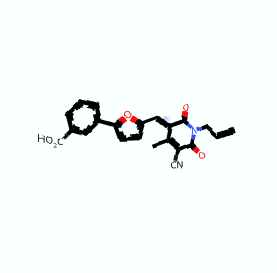 C=CCN1C(=O)C(C#N)=C(C)/C(=C\c2ccc(-c3cccc(C(=O)O)c3)o2)C1=O